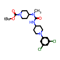 CN(C(=O)NC1CCN(c2cc(Cl)cc(Cl)c2)CC1)C1CCN(C(=O)OC(C)(C)C)CC1